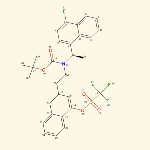 C[C@H](c1ccc(F)c2ccccc12)N(CCC1C=C(OS(=O)(=O)C(F)(F)F)c2ccccc2C1)C(=O)OC(C)(C)C